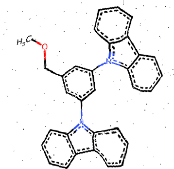 COCc1cc(-n2c3ccccc3c3ccccc32)cc(-n2c3ccccc3c3ccccc32)c1